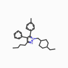 CCCCc1nn(CC2CCC(CC)CC2)c(-c2ccc(C)cc2)c1-c1ccccc1